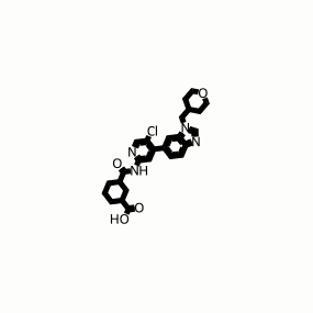 O=C(O)C1CCCC(C(=O)Nc2cc(-c3ccc4ncn(CC5CCOCC5)c4c3)c(Cl)cn2)C1